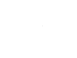 CCC=O.[Br-].[Na+]